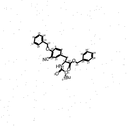 CC(C)(C)OC(=O)NC(Cc1ccc(OCc2ccccc2)c(C#N)c1)C(=O)OCc1ccccc1